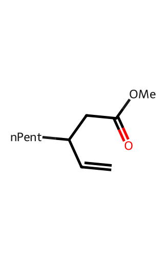 C=CC(CCCCC)CC(=O)OC